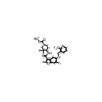 Cc1oc2cc(F)c(OCc3cccnc3C(F)(F)F)cc2c1C(=O)NC1CCN(C(=O)OC(C)(C)C)CC1(F)F